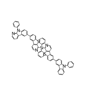 c1ccc(-n2c3ccccc3c3cc(-c4ccc5sc6c([Si](c7ccccc7)(c7ccccc7)c7nccc8c7sc7ccc(-c9ccc%10c(c9)c9cccnc9n%10-c9ccccc9)cc78)nccc6c5c4)ccc32)cc1